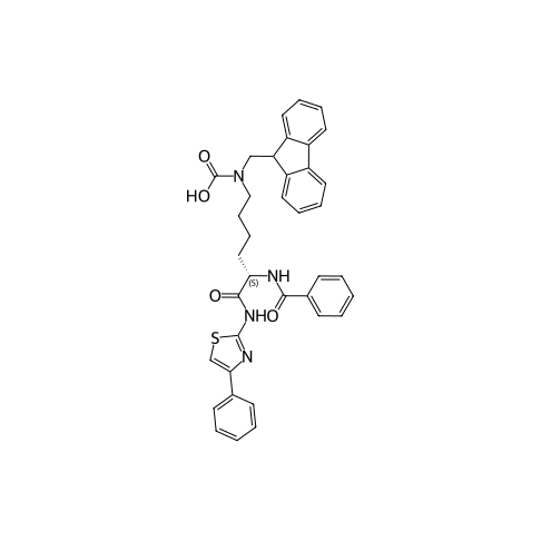 O=C(N[C@@H](CCCCN(CC1c2ccccc2-c2ccccc21)C(=O)O)C(=O)Nc1nc(-c2ccccc2)cs1)c1ccccc1